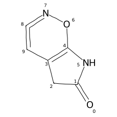 O=C1CC2=C(N1)ON=C=C2